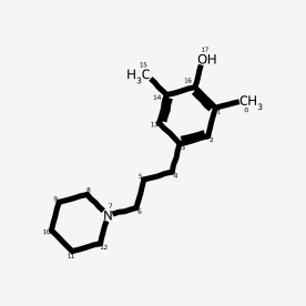 Cc1cc(CCCN2CCCCC2)cc(C)c1O